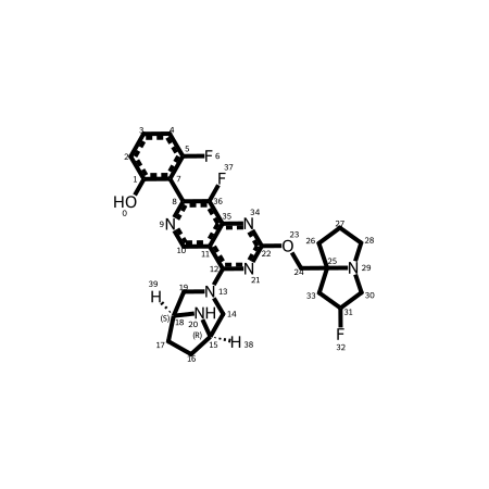 Oc1cccc(F)c1-c1ncc2c(N3C[C@H]4CC[C@@H](C3)N4)nc(OCC34CCCN3CC(F)C4)nc2c1F